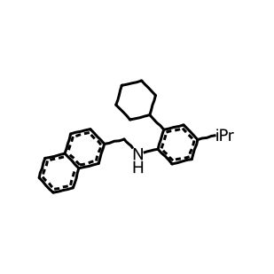 CC(C)c1ccc(NCc2ccc3ccccc3c2)c(C2CCCCC2)c1